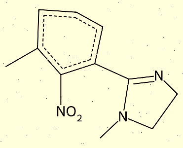 Cc1cccc(C2=NCCN2C)c1[N+](=O)[O-]